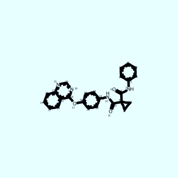 O=C(Nc1ccccc1)C1(C(=O)Nc2ccc(Oc3ncnc4c[c]ccc34)cc2)CC1